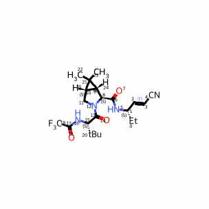 CC[C@@H](/C=C/C#N)NC(=O)[C@@H]1[C@@H]2[C@H](CN1C(=O)[C@@H](NC(=O)C(F)(F)F)C(C)(C)C)C2(C)C